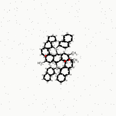 Cc1ccc2c(N(c3ccc4ccccc4c3)c3c4ccccc4cc4ccccc34)c3cc(C)c(C)cc3c(N(c3ccc4ccccc4c3)c3c4ccccc4cc4ccccc34)c2c1